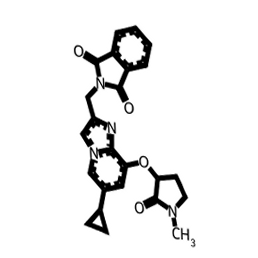 CN1CCC(Oc2cc(C3CC3)cn3cc(CN4C(=O)c5ccccc5C4=O)nc23)C1=O